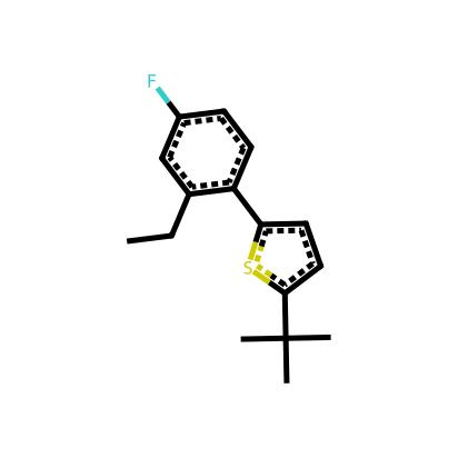 CCc1cc(F)ccc1-c1ccc(C(C)(C)C)s1